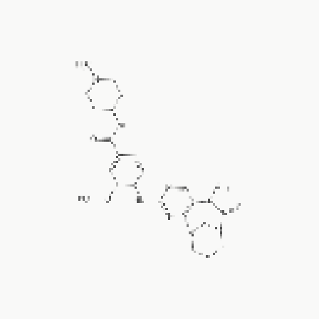 COc1cc(C(=O)NC2CCN(C)CC2)ccc1Nc1ncc2c(n1)N1CCCC(C1)C(=O)N2C